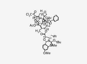 COc1ccc(C2O[C@@H](C(=O)O[C@@H]3C(C)=C4[C@@H](OC(C)=O)C(=O)[C@]5(C)[C@@H](OC(=O)C(Cl)(Cl)Cl)C[C@H]6OC[C@@]6(OC(C)=O)[C@H]5[C@H](OC(=O)c5ccccc5)[C@@]5(OCC[C@@H]35)C4(C)C)[C@H](CC(C)C)N2C(=O)OC(C)(C)C)c(OC)c1